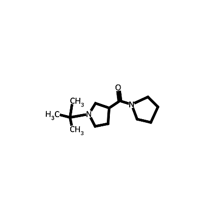 CC(C)(C)N1CCC(C(=O)N2CCCC2)C1